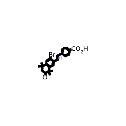 CC1(C)CC(=O)C(C)(C)c2cc(/C=C/c3ccc(C(=O)O)cc3)c(Br)cc21